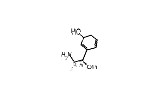 C[C@H](N)[C@H](O)C1=CC(O)CC=C1